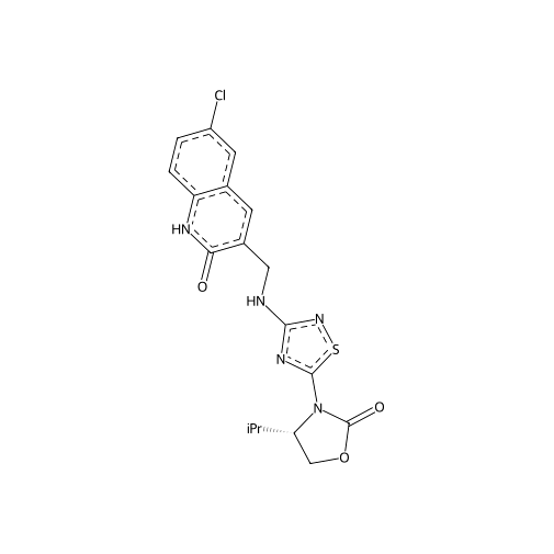 CC(C)[C@H]1COC(=O)N1c1nc(NCc2cc3cc(Cl)ccc3[nH]c2=O)ns1